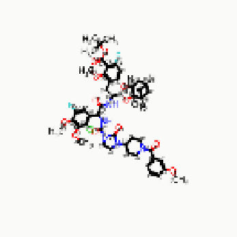 COc1cccc(C(=O)N2CCC(N3CCN(C(=O)NC(C(=O)N[C@@H](Cc4ccc(F)c(C(=O)OC(C)(C)C)c4OC)B4O[C@@H]5C[C@@H]6C[C@@H](C6(C)C)[C@]5(C)O4)c4cc(F)c(OC)c(OC)c4Cl)C3=O)CC2)c1